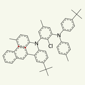 Cc1ccc(N(c2ccc(C(C)(C)C)cc2)c2cc(C)cc(N(c3ccc(C)cc3)c3ccc(C(C)(C)C)cc3-c3ccc4ccccc4c3)c2Cl)cc1